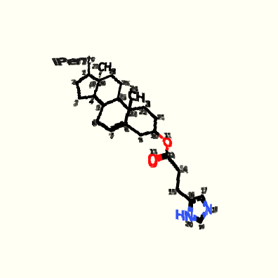 CCCC(C)C1CCC2C3CC=C4CC(OC(=O)CCc5cnc[nH]5)CCC4(C)C3CC[C@]12C